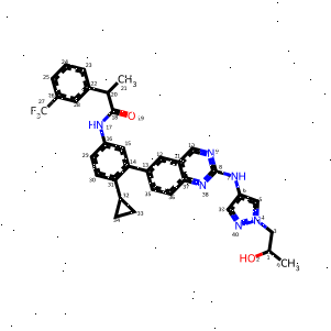 CC(O)Cn1cc(Nc2ncc3cc(-c4cc(NC(=O)C(C)c5cccc(C(F)(F)F)c5)ccc4C4CC4)ccc3n2)cn1